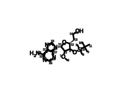 COC1C(O[Si](C)(C)C(C)(C)C)[C@@H](CCO)O[C@H]1n1cnc2c(N)ncnc21